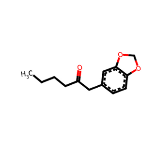 CCCCC(=O)Cc1ccc2c(c1)OCO2